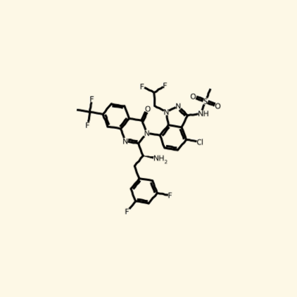 CC(F)(F)c1ccc2c(=O)n(-c3ccc(Cl)c4c(NS(C)(=O)=O)nn(CC(F)F)c34)c([C@@H](N)Cc3cc(F)cc(F)c3)nc2c1